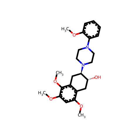 COc1ccccc1N1CCN([C@@H]2Cc3c(c(OC)cc(OC)c3OC)C[C@H]2O)CC1